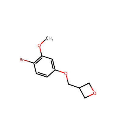 COc1cc(OCC2COC2)ccc1Br